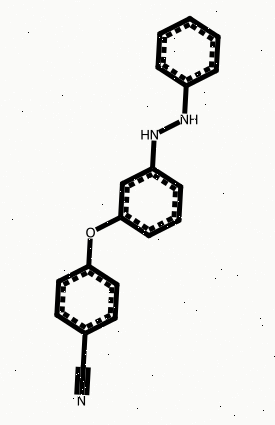 N#Cc1ccc(Oc2cccc(NNc3ccccc3)c2)cc1